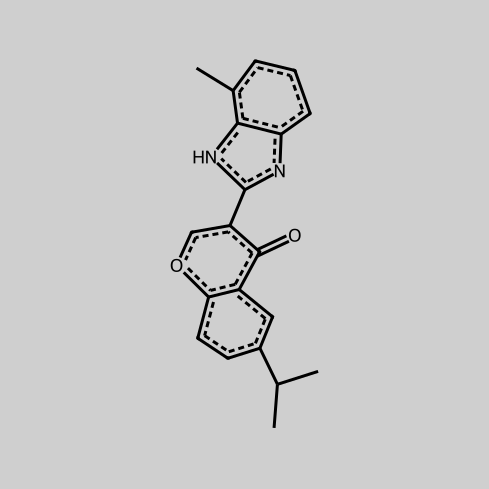 Cc1cccc2nc(-c3coc4ccc(C(C)C)cc4c3=O)[nH]c12